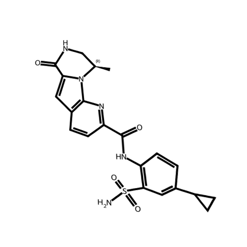 C[C@@H]1CNC(=O)c2cc3ccc(C(=O)Nc4ccc(C5CC5)cc4S(N)(=O)=O)nc3n21